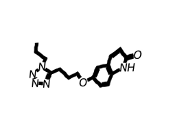 CCCn1nnnc1CCCOc1ccc2[nH]c(=O)ccc2c1